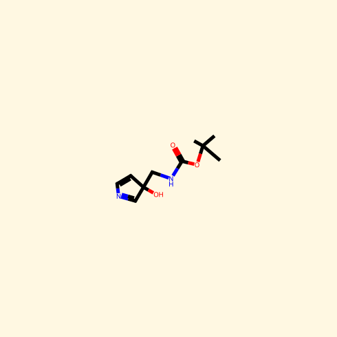 CC(C)(C)OC(=O)NCC1(O)C=CN=C1